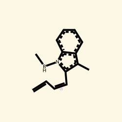 C=C/C=C\c1c(C)c2ccccc2n1BC